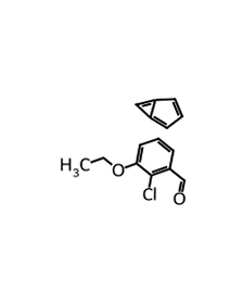 CCOc1cccc(C=O)c1Cl.c1cc2cc-2c1